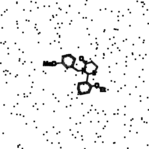 CCOc1ccccc1C1SCCC(=O)N1Cc1cccc(OC)c1